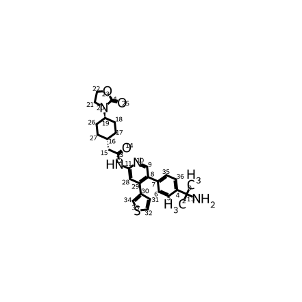 CC(C)(N)c1ccc(-c2cnc(NC(=O)C[C@H]3CC[C@H](N4CCOC4=O)CC3)cc2-c2ccsc2)cc1